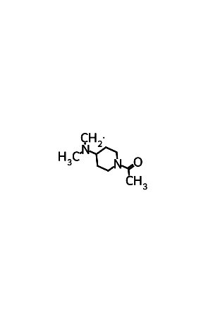 [CH2]N(C)C1CCN(C(C)=O)CC1